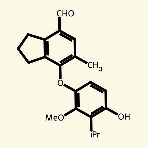 COc1c(Oc2c(C)cc(C=O)c3c2CCC3)ccc(O)c1C(C)C